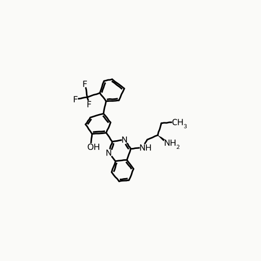 CC[C@@H](N)CNc1nc(-c2cc(-c3ccccc3C(F)(F)F)ccc2O)nc2ccccc12